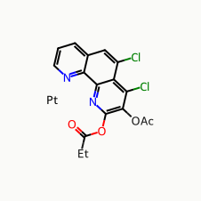 CCC(=O)Oc1nc2c(c(Cl)cc3cccnc32)c(Cl)c1OC(C)=O.[Pt]